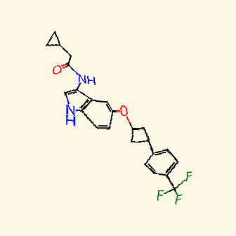 O=C(CC1CC1)Nc1c[nH]c2ccc(OC3CC(c4ccc(C(F)(F)F)cc4)C3)cc12